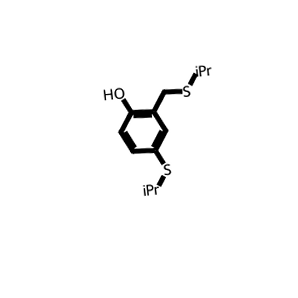 CC(C)SCc1cc(SC(C)C)ccc1O